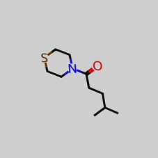 CC(C)CCC(=O)N1CCSCC1